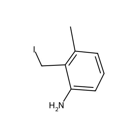 Cc1cccc(N)c1CI